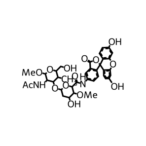 COC1OC(CO)C(C)C(OC2CC(O)C(OC)C(C(=O)Nc3ccc4c(c3)C(=O)OC43c4ccc(O)cc4Oc4cc(O)ccc43)O2)C1NC(C)=O